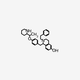 CC(Oc1ccc(CC2c3ccc(O)cc3CCN2CCc2ccccc2)cc1)C1CCCCN1